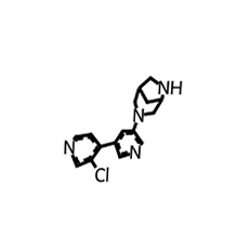 Clc1cnccc1-c1cncc(N2CC3CNC(C3)C2)c1